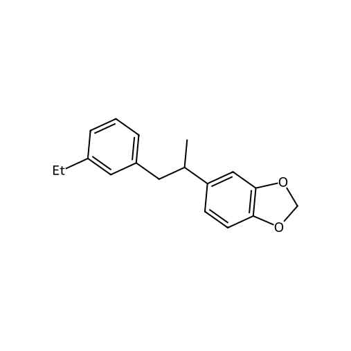 CCc1cccc(CC(C)c2ccc3c(c2)OCO3)c1